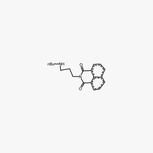 CCCCNCCCN1C(=O)c2cccc3cccc(c23)C1=O